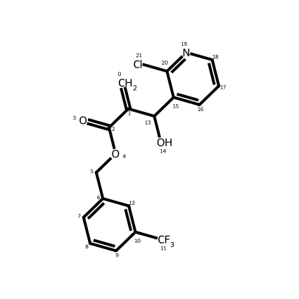 C=C(C(=O)OCc1cccc(C(F)(F)F)c1)C(O)c1cccnc1Cl